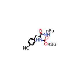 CCCCNC(=O)[C@H](Cc1ccc(C#N)cc1)NC(=O)OC(C)(C)C